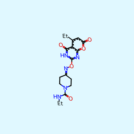 CCNC(=O)N1CCC(=NOc2nc3oc(=O)cc(CC)c3c(=O)[nH]2)CC1